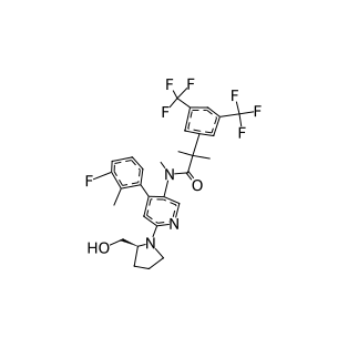 Cc1c(F)cccc1-c1cc(N2CCC[C@H]2CO)ncc1N(C)C(=O)C(C)(C)c1cc(C(F)(F)F)cc(C(F)(F)F)c1